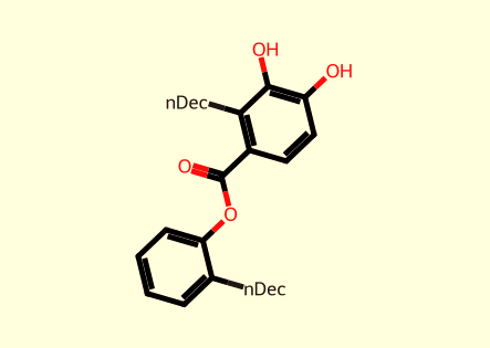 CCCCCCCCCCc1ccccc1OC(=O)c1ccc(O)c(O)c1CCCCCCCCCC